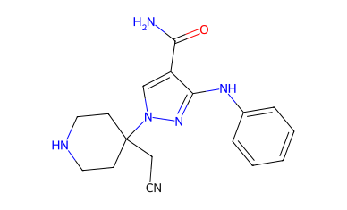 N#CCC1(n2cc(C(N)=O)c(Nc3ccccc3)n2)CCNCC1